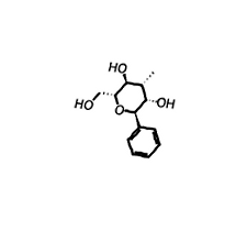 C[C@@H]1[C@H](O)[C@@H](c2ccccc2)O[C@H](CO)[C@H]1O